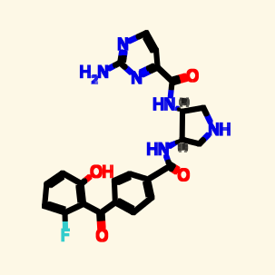 Nc1nccc(C(=O)N[C@@H]2CNC[C@H]2NC(=O)c2ccc(C(=O)c3c(O)cccc3F)cc2)n1